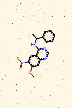 COc1cc2ncnc(NC(C)c3ccccc3)c2cc1[N+](=O)[O-]